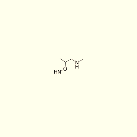 CNCC(C)ONC